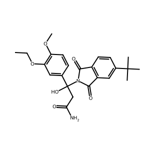 CCOc1cc(C(O)(CC(N)=O)N2C(=O)c3ccc(C(C)(C)C)cc3C2=O)ccc1OC